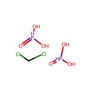 ClCCl.O=[PH](O)O.O=[PH](O)O